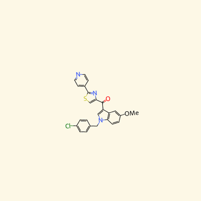 COc1ccc2c(c1)c(C(=O)c1csc(-c3ccncc3)n1)cn2Cc1ccc(Cl)cc1